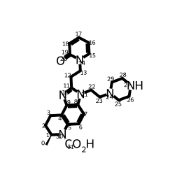 C[C@H]1CCc2c(ccc3c2nc(CCn2ccccc2=O)n3CCN2CCNCC2)N1C(=O)O